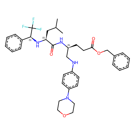 CC(C)C[C@H](N[C@@H](c1ccccc1)C(F)(F)F)C(=O)N[C@@H](CCC(=O)OCc1ccccc1)CNc1ccc(N2CCOCC2)cc1